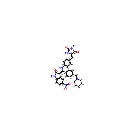 CN1C(=O)N/C(=C\c2ccc(N/C(=C3\C(=O)Nc4ccc([N+](=O)[O-])cc43)c3ccc(CN4CCCCC4)cc3)cc2)C1=O